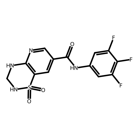 O=C(Nc1cc(F)c(F)c(F)c1)c1cnc2c(c1)S(=O)(=O)NCN2